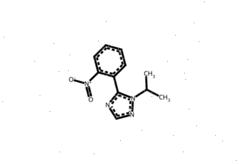 CC(C)n1ncnc1-c1ccccc1[N+](=O)[O-]